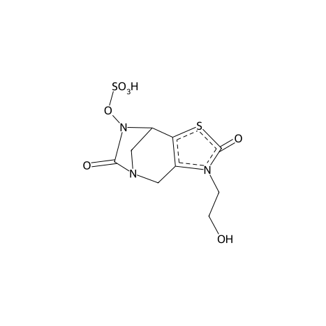 O=C1N2Cc3c(sc(=O)n3CCO)C(C2)N1OS(=O)(=O)O